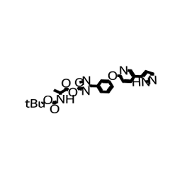 CC(NC(=O)OC(C)(C)C)C(=O)Oc1nc(-c2cccc(Oc3ccc(-c4ccn[nH]4)cn3)c2)no1